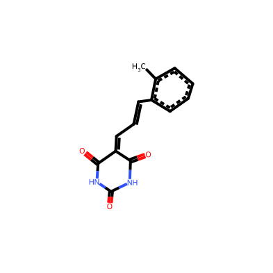 Cc1ccccc1/C=C/C=C1C(=O)NC(=O)NC1=O